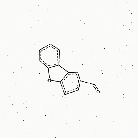 O=Cc1ccc2c(c1)-c1ccccc1[N]2